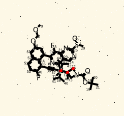 COCOc1cc(-c2nc(N(C)C3CN(C(=O)OC(C)(C)C)C3)c3cnc([S+](C)[O-])nc3c2F)c2c(C#C[Si](C(C)C)(C(C)C)C(C)C)c(F)ccc2c1